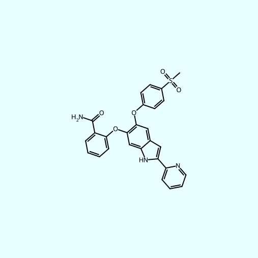 CS(=O)(=O)c1ccc(Oc2cc3cc(-c4ccccn4)[nH]c3cc2Oc2ccccc2C(N)=O)cc1